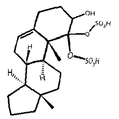 C[C@@]12CCC[C@H]1[C@@H]1CC=C3CCC(O)C(OS(=O)(=O)O)(OS(=O)(=O)O)[C@]3(C)[C@H]1CC2